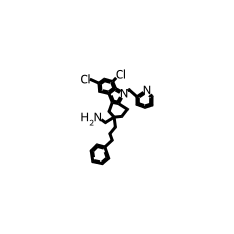 NCC1(CCCc2ccccc2)CCc2c(c3cc(Cl)cc(Cl)c3n2Cc2ccccn2)C1